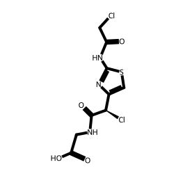 O=C(O)CNC(=O)[C@H](Cl)c1csc(NC(=O)CCl)n1